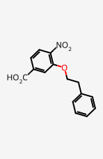 O=C(O)c1ccc([N+](=O)[O-])c(OCCc2ccccc2)c1